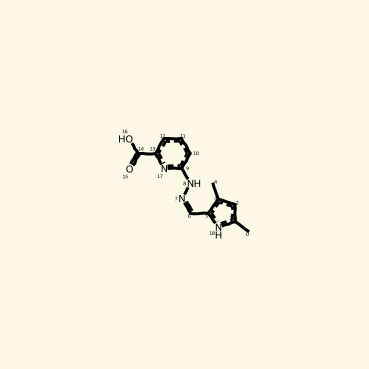 Cc1cc(C)c(/C=N\Nc2cccc(C(=O)O)n2)[nH]1